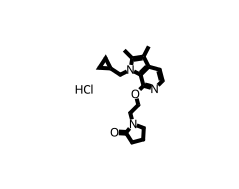 Cc1c(C)n(CC2CC2)c2c(OCCN3CCCC3=O)nccc12.Cl